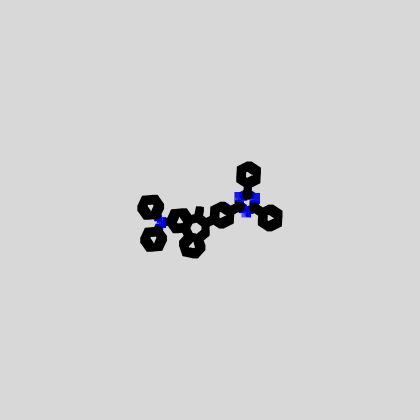 CC1c2ccc(N(c3ccccc3)c3ccccc3)cc2-c2ccccc2CC1c1ccc(-c2nc(-c3ccccc3)nc(-c3ccccc3)n2)cc1